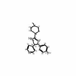 CC1CCC(C2=NC(c3ccc(F)cc3)C(c3ccncc3)N2)CC1